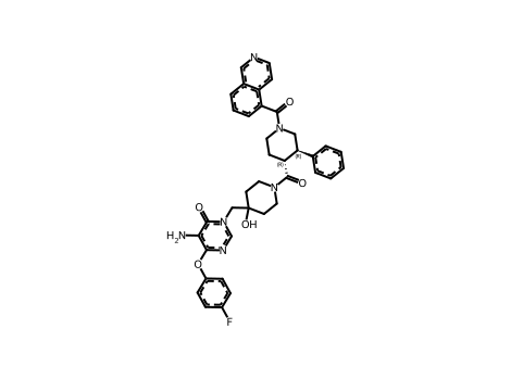 Nc1c(Oc2ccc(F)cc2)ncn(CC2(O)CCN(C(=O)[C@@H]3CCN(C(=O)c4cccc5cnccc45)C[C@H]3c3ccccc3)CC2)c1=O